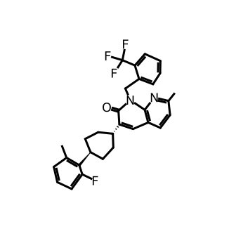 Cc1ccc2cc([C@H]3CC[C@H](c4c(C)cccc4F)CC3)c(=O)n(Cc3ccccc3C(F)(F)F)c2n1